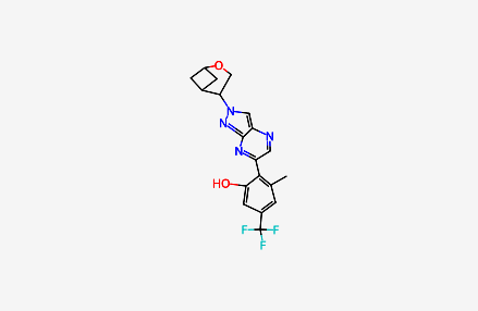 Cc1cc(C(F)(F)F)cc(O)c1-c1cnc2cn(C3COC4CC3C4)nc2n1